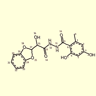 Cc1cc(O)cc(O)c1C(=O)NNC(=O)C(O)C1Oc2ccccc2O1